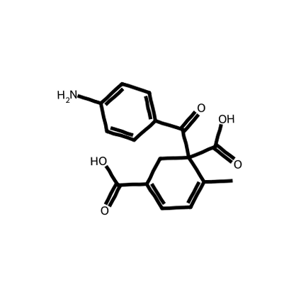 CC1=CC=C(C(=O)O)CC1(C(=O)O)C(=O)c1ccc(N)cc1